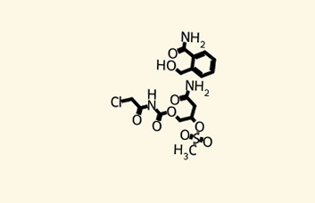 CS(=O)(=O)OC(COC(=O)NC(=O)CCl)CC(N)=O.NC(=O)c1ccccc1CO